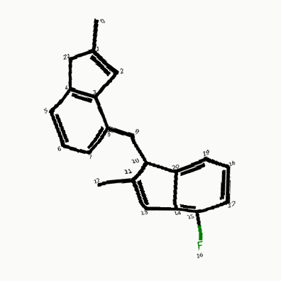 CC1=Cc2c(cccc2CC2C(C)=Cc3c(F)cccc32)C1